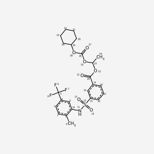 Cc1ccc(C(F)(F)F)cc1NS(=O)(=O)c1cccc(C(=O)OC(C)OC(=O)OC2CCCCC2)c1